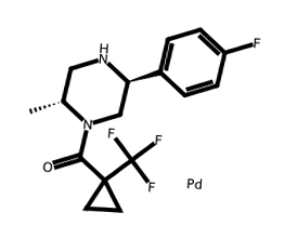 C[C@@H]1CN[C@@H](c2ccc(F)cc2)CN1C(=O)C1(C(F)(F)F)CC1.[Pd]